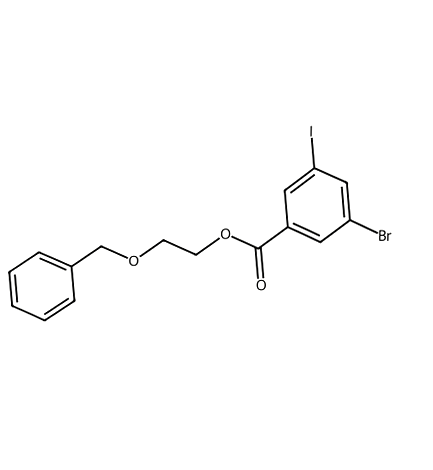 O=C(OCCOCc1ccccc1)c1cc(Br)cc(I)c1